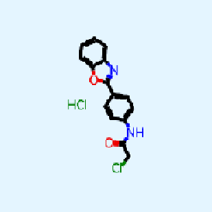 Cl.O=C(CCl)Nc1ccc(-c2nc3ccccc3o2)cc1